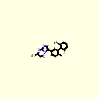 [C-]#[N+]c1cccc(F)c1-c1cc(-c2cnc3nc(C(C)(C)C)cnn23)ccc1C